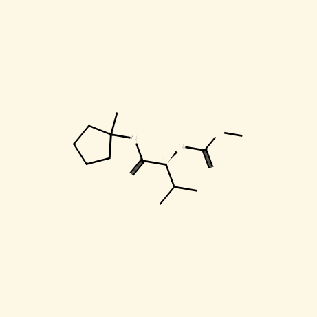 COC(=O)N[C@H](C(=O)NC1(C)CCCC1)C(C)C